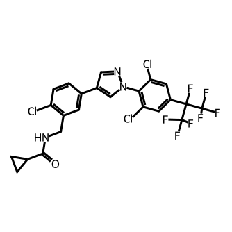 O=C(NCc1cc(-c2cnn(-c3c(Cl)cc(C(F)(C(F)(F)F)C(F)(F)F)cc3Cl)c2)ccc1Cl)C1CC1